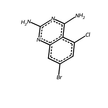 Nc1nc(N)c2c(Cl)cc(Br)cc2n1